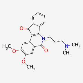 COc1cc2c3c(n(CCCN(C)C)c(=O)c2cc1OC)-c1ccccc1C3=O